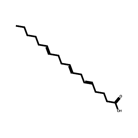 CCCCCC=CCCC=CCC=CCCCC(=O)O